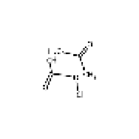 CC(=O)OCl.CC(C)=O